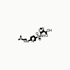 CN(C)CCNc1ccc(S(=O)(=O)Nc2scnc2C(=O)O)cn1